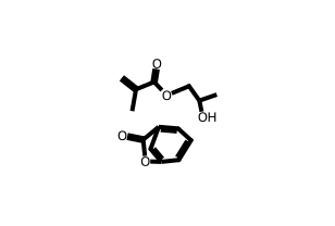 C=C(C)C(=O)OCC(C)O.O=C1Oc2cccc1c2